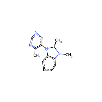 Cc1ncncc1N1c2ccccc2N(C)[C@@H]1C